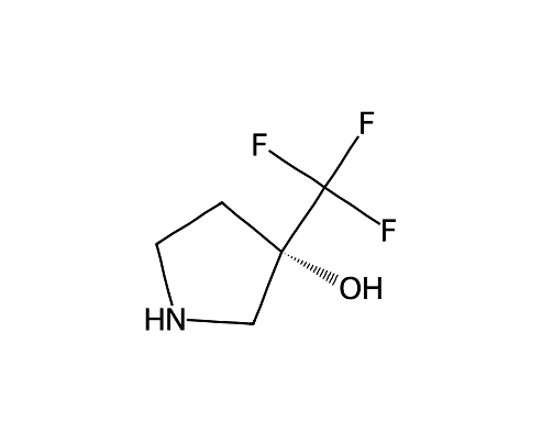 O[C@@]1(C(F)(F)F)CCNC1